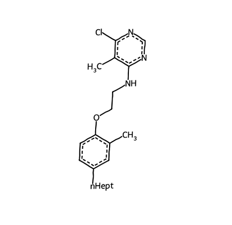 CCCCCCCc1ccc(OCCNc2ncnc(Cl)c2C)c(C)c1